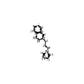 c1ccc2cc(CCCn3ccnc3)ccc2c1